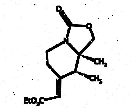 CCOC(=O)C=C1CCN2C(=O)OC[C@@]2(C)[C@@H]1C